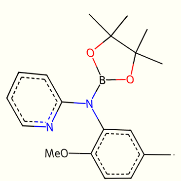 [CH2]c1ccc(OC)c(N(B2OC(C)(C)C(C)(C)O2)c2ccccn2)c1